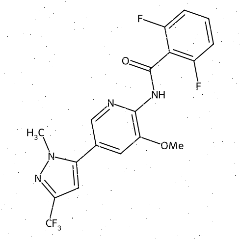 COc1cc(-c2cc(C(F)(F)F)nn2C)cnc1NC(=O)c1c(F)cccc1F